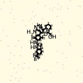 Nc1ncnn2c(C3CCCCN3C(=O)CO)cc(-c3cc(F)c(NC(=O)Nc4cc(C(F)(F)F)ccc4F)cc3F)c12